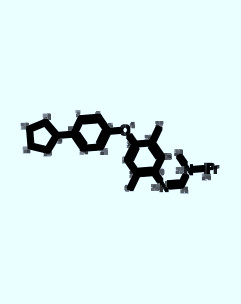 Cc1cc(Oc2ccc(C3CCCC3)cc2)c(C)cc1/N=C\N(C)C(C)C